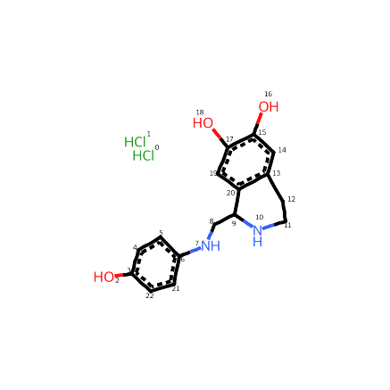 Cl.Cl.Oc1ccc(NCC2NCCc3cc(O)c(O)cc32)cc1